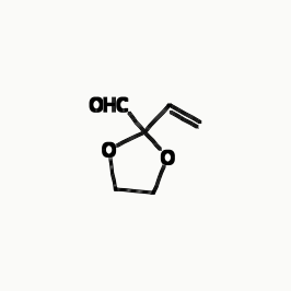 C=CC1(C=O)OCCO1